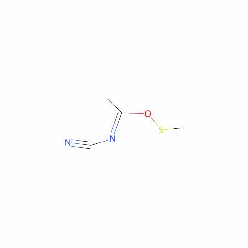 CSOC(C)=NC#N